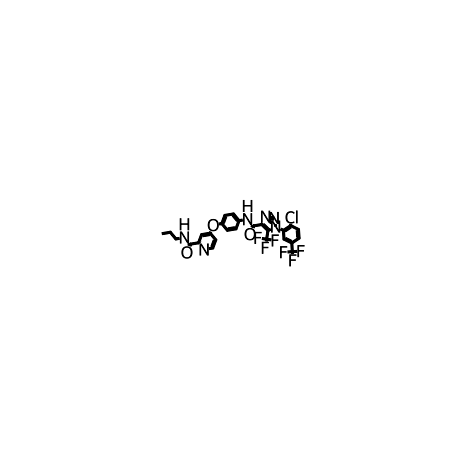 CCCNC(=O)c1cc(Oc2ccc(NC(=O)c3nnn(-c4cc(C(F)(F)F)ccc4Cl)c3C(F)(F)F)cc2)ccn1